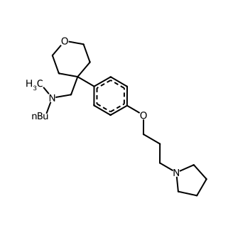 CCCCN(C)CC1(c2ccc(OCCCN3CCCC3)cc2)CCOCC1